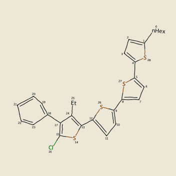 CCCCCCc1ccc(-c2ccc(-c3ccc(-c4sc(Cl)c(-c5ccccc5)c4CC)s3)s2)s1